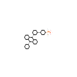 CCP(=O)(CC)c1ccc(-c2cccc(-c3c4ccccc4c(-c4ccccc4)c4ccccc34)c2)cc1